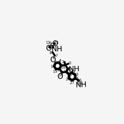 CC1(C)c2cc(OCCNS(C)(=O)=O)ccc2C(=O)c2c1[nH]c1cc(C=N)ccc21